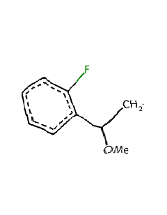 [CH2]C(OC)c1ccccc1F